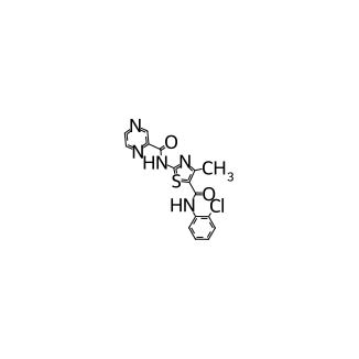 Cc1nc(NC(=O)c2cnccn2)sc1C(=O)Nc1ccccc1Cl